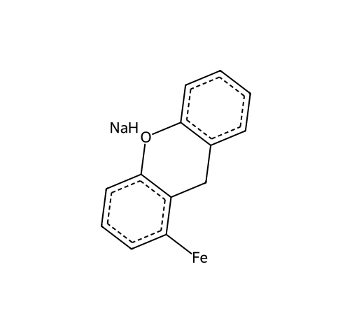 [Fe][c]1cccc2c1Cc1ccccc1O2.[NaH]